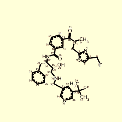 CN(Cc1nc(CF)cs1)C(=O)c1cccc(C(=O)N[C@@H](Cc2ccccc2)[C@H](O)CNCc2cncc(C(C)(C)F)c2)c1